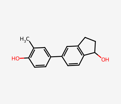 Cc1cc(-c2ccc3c(c2)CCC3O)ccc1O